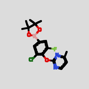 Cc1ccnc(Oc2c(F)cc(B3OC(C)(C)C(C)(C)O3)cc2Cl)n1